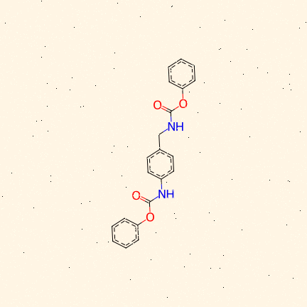 O=C(NCc1ccc(NC(=O)Oc2ccccc2)cc1)Oc1ccccc1